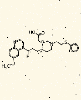 COc1ccc2nccc([C@H](F)CC[C@@H]3CCN(CCSc4ccco4)C[C@@H]3CC(=O)O)c2c1